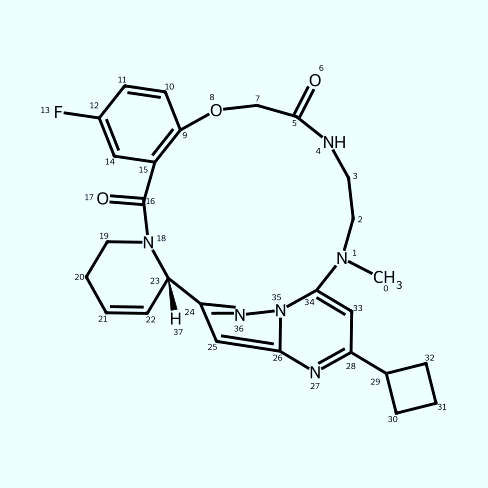 CN1CCNC(=O)COc2ccc(F)cc2C(=O)N2CCC=C[C@H]2c2cc3nc(C4CCC4)cc1n3n2